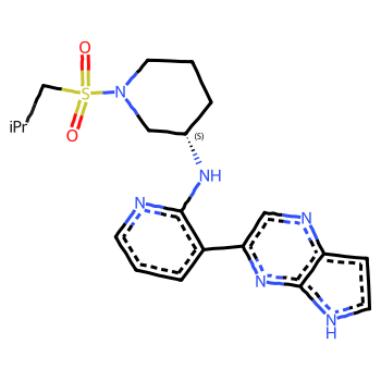 CC(C)CS(=O)(=O)N1CCC[C@H](Nc2ncccc2-c2cnc3cc[nH]c3n2)C1